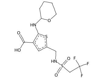 O=C(O)c1cc(CNS(=O)(=O)CC(F)(F)F)sc1NC1CCCCO1